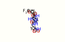 O=C1COc2ccc(CNC(=O)c3ncnc4c(NS(=O)(=O)c5cccc(OC(F)(F)F)c5)c[nH]c34)cc2N1